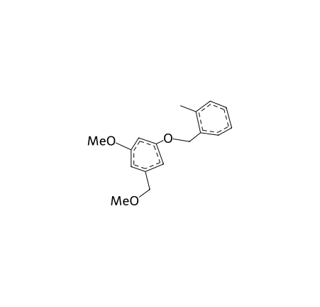 COCc1cc(OC)cc(OCc2ccccc2C)c1